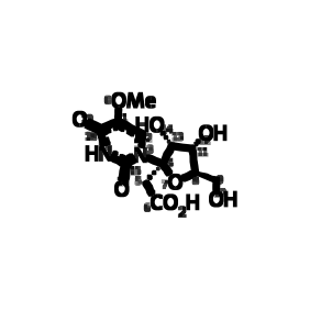 COc1cn([C@]2(CC(=O)O)O[C@H](CO)[C@@H](O)[C@H]2O)c(=O)[nH]c1=O